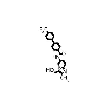 Cc1nc2ccc(NC(=O)c3ccc(-c4ccc(C(F)(F)F)cc4)cc3)cn2c1CO